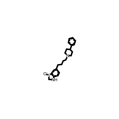 [O-][S+]1CNc2ccc(CCCCN3CCC(c4ccccc4)CC3)cc21